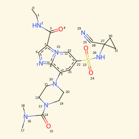 CCNC(=O)c1cnc2c(N3CCN(C(=O)N(C)C)CC3)cc(S(=O)(=O)NC3(C#N)CC3)cn12